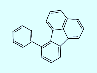 c1ccc(-c2cccc3c2-c2cccc4cccc-3c24)cc1